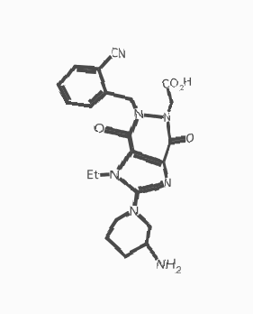 CCn1c(N2CCCC(N)C2)nc2c(=O)n(CC(=O)O)n(Cc3ccccc3C#N)c(=O)c21